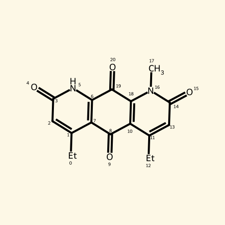 CCc1cc(=O)[nH]c2c1C(=O)c1c(CC)cc(=O)n(C)c1C2=O